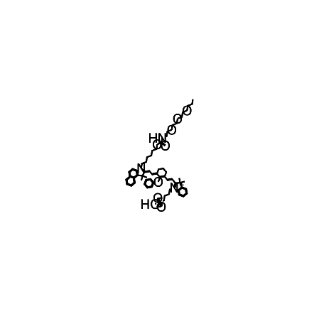 CCCOCCOCCOCCNC(=O)OCCCCCCN1/C(=C/C=C2\CCCC(/C=C/C3=[N+](CCCCS(=O)(=O)O)c4ccccc4C3(C)C)=C2Oc2ccccc2)C(C)(C)c2c1ccc1ccccc21